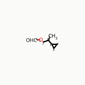 CC(COC=O)C1CC1